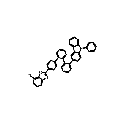 Clc1cccc2nc(-c3ccc(-c4ccccc4-c4ccccc4-c4ccc5c(c4)c4ccccc4n5-c4ccccc4)cc3)oc12